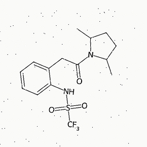 CC1CCC(C)N1C(=O)Cc1ccccc1NS(=O)(=O)C(F)(F)F